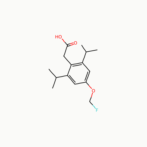 CC(C)c1cc(OCF)cc(C(C)C)c1CC(=O)O